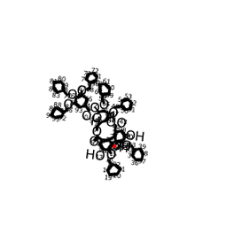 O=C(O[C@@H]1O[C@@H]2COC(=O)c3cc(O)c(OCc4ccccc4)c(O)c3-c3c(cc(O)c(OCc4ccccc4)c3O)C(=O)O[C@H]2[C@H](OCc2ccccc2)[C@H]1OCc1ccccc1)c1cc(OCc2ccccc2)c(OCc2ccccc2)c(OCc2ccccc2)c1